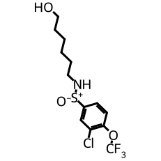 [O-][S+](NCCCCCCO)c1ccc(OC(F)(F)F)c(Cl)c1